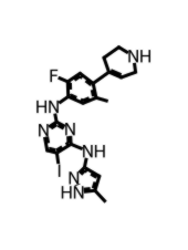 Cc1cc(Nc2nc(Nc3cc(C)c(C4=CCNCC4)cc3F)ncc2I)n[nH]1